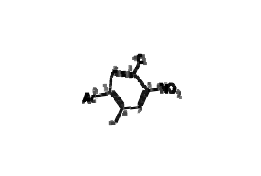 CC(=O)c1cc(Cl)c([N+](=O)[O-])cc1C